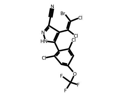 N#Cc1n[nH]c(-c2c(Cl)cc(OC(F)(F)F)cc2Cl)c1C(Cl)=C(Cl)Br